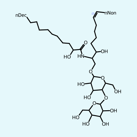 CCCCCCCCC/C=C\CCCCC(O)C(COC1OC(CO)C(OC2OC(CO)C(O)C(O)C2O)C(O)C1O)NC(=O)C(O)CCCCCCCCCCCCCCCCCC